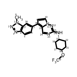 Cn1nnc2ccc(-c3ccn4nc(N[C@H]5CC[C@@H](OC(F)(F)F)CC5)ncc34)cc21